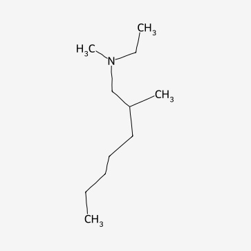 CCCCCC(C)CN(C)CC